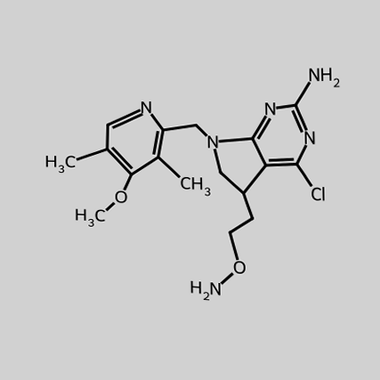 COc1c(C)cnc(CN2CC(CCON)c3c(Cl)nc(N)nc32)c1C